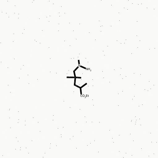 CCOC(=O)C(C)CC(C)(C)CN(C)N